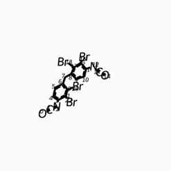 O=C=Nc1ccc(Cc2ccc(N=C=O)c(Br)c2Br)c(Br)c1Br